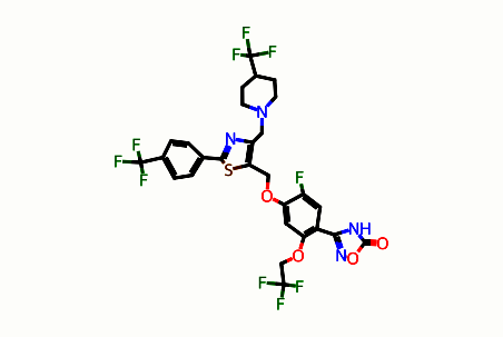 O=c1[nH]c(-c2cc(F)c(OCc3sc(-c4ccc(C(F)(F)F)cc4)nc3CN3CCC(C(F)(F)F)CC3)cc2OCC(F)(F)F)no1